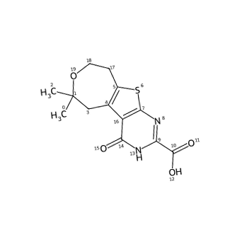 CC1(C)Cc2c(sc3nc(C(=O)O)[nH]c(=O)c23)CCO1